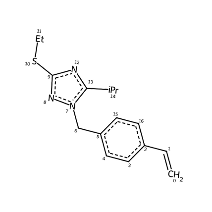 C=Cc1ccc(Cn2nc(SCC)nc2C(C)C)cc1